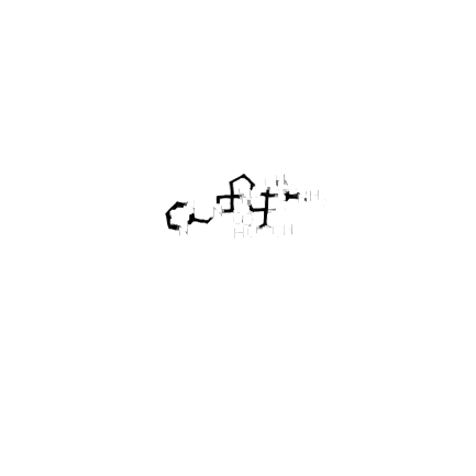 C[C@@H](O)[C@](OC(N)=O)(C(=O)N1CCCC12CN(Cc1ncccn1)C2=O)C(C)(C)C